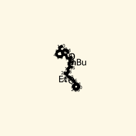 C=CC1=CCC=CC(CCC(=O)N(CCCC)C/C(C)=C/C=C(\C)C(CC)COCc2ccccc2)=C1/C=C\C